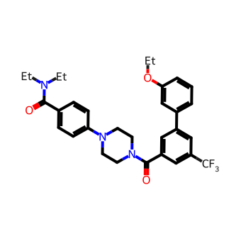 CCOc1cccc(-c2cc(C(=O)N3CCN(c4ccc(C(=O)N(CC)CC)cc4)CC3)cc(C(F)(F)F)c2)c1